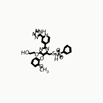 COc1ccccc1Oc1c(CSNS(=O)(=O)c2ccccc2)nc(-c2ccnc(-c3nnn[nH]3)c2)nc1OCCO